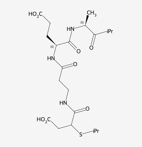 CC(C)SC(CC(=O)O)C(=O)NCCC(=O)N[C@@H](CCC(=O)O)C(=O)N[C@@H](C)C(=O)C(C)C